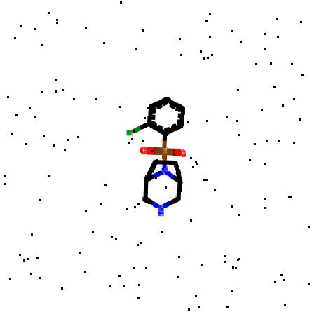 O=S(=O)(c1ccccc1Br)N1C2CCC1CNC2